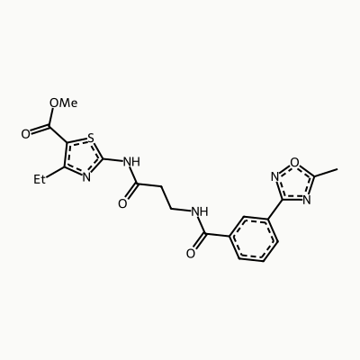 CCc1nc(NC(=O)CCNC(=O)c2cccc(-c3noc(C)n3)c2)sc1C(=O)OC